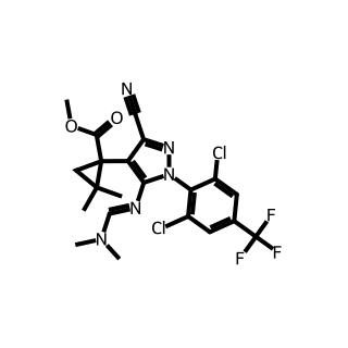 COC(=O)C1(c2c(C#N)nn(-c3c(Cl)cc(C(F)(F)F)cc3Cl)c2/N=C/N(C)C)CC1(C)C